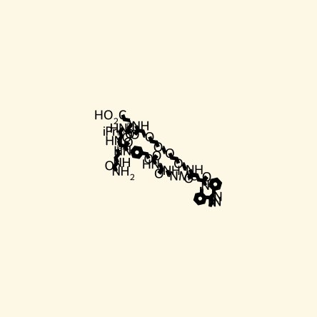 CNCNC(=O)CNC(=O)OCc1ccc(NC(=O)[C@H](CCCNC(N)=O)NC(=O)[C@@H](NC(=O)[C@@H](CCC(=O)O)NC(=O)CCOCCOCCOCCOCCNC(=O)CCC(=O)N2Cc3ccccc3-c3c(nnn3C)-c3ccccc32)C(C)C)cc1